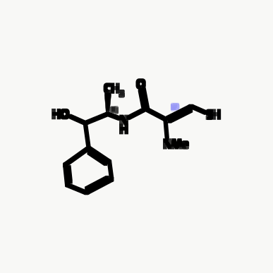 CN/C(=C\S)C(=O)N[C@H](C)C(O)c1ccccc1